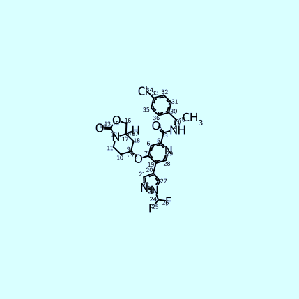 C[C@H](NC(=O)c1cc(O[C@H]2CCN3C(=O)OC[C@@H]3C2)c(-c2cnn(C(F)F)c2)cn1)c1ccc(Cl)cc1